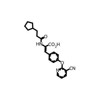 N#Cc1cccnc1Oc1ccc(/C=C(/NC(=O)CCC2CCCC2)C(=O)O)cc1